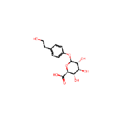 O=C(O)[C@H]1O[C@@H](Oc2ccc(CCO)cc2)[C@H](O)[C@@H](O)[C@@H]1O